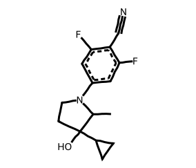 CC1N(c2cc(F)c(C#N)c(F)c2)CCC1(O)C1CC1